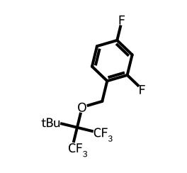 CC(C)(C)C(OCc1ccc(F)cc1F)(C(F)(F)F)C(F)(F)F